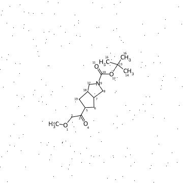 COCC(=O)C1CC2CN(C(=O)OC(C)(C)C)CC2C1